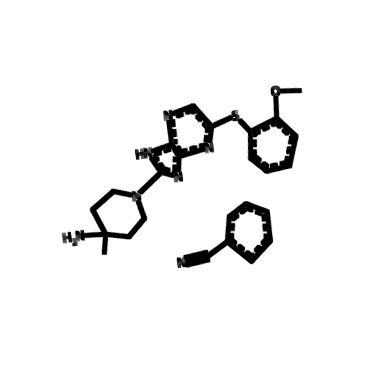 COc1ccccc1Sc1cnc2[nH]c(N3CCC(C)(N)CC3)nc2n1.N#Cc1ccccc1